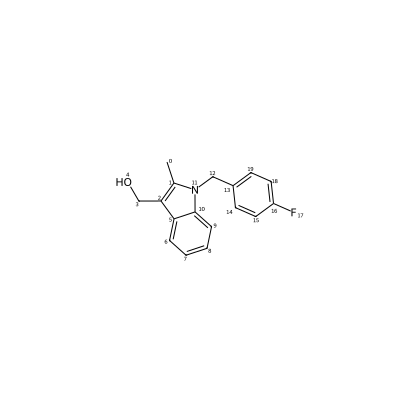 Cc1c(CO)c2ccccc2n1Cc1ccc(F)cc1